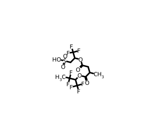 CC(CC(=O)OC(CS(=O)(=O)O)C(F)(F)F)C(=O)OC(C(C)(F)F)C(F)(F)F